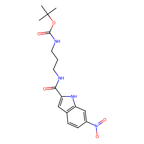 CC(C)(C)OC(=O)NCCCNC(=O)c1cc2ccc([N+](=O)[O-])cc2[nH]1